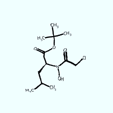 CC(C)C[C@@H](C(=O)OC(C)(C)C)N(O)C(=O)CCl